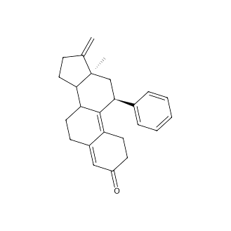 C=C1CCC2C3CCC4=CC(=O)CCC4=C3[C@H](c3ccccc3)C[C@]12C